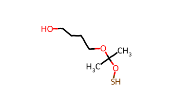 CC(C)(OS)OCCCCO